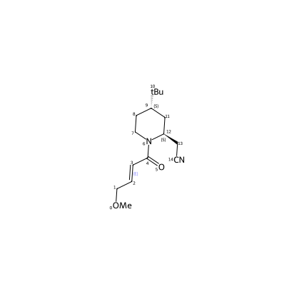 COC/C=C/C(=O)N1CC[C@H](C(C)(C)C)C[C@H]1CC#N